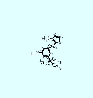 CC1=[C]([Ti][O]c2cc(C)cc(C(C)(C)C)c2)CC=C1